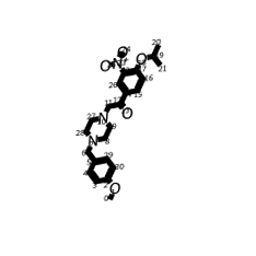 COc1ccc(CN2CCN(CC(=O)c3ccc(OC(C)C)c([N+](=O)[O-])c3)CC2)cc1